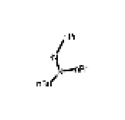 CCCCN(CCC)[N]CCC